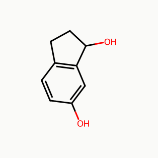 Oc1ccc2c(c1)C(O)CC2